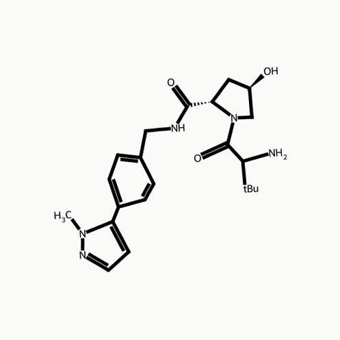 Cn1nccc1-c1ccc(CNC(=O)[C@@H]2C[C@@H](O)CN2C(=O)C(N)C(C)(C)C)cc1